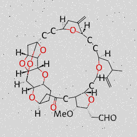 C=C1C[C@@H]2CC[C@@]34C[C@H]5O[C@H]6[C@@H](O3)[C@H]3O[C@H](CCC3O[C@H]6C5O4)CC(=O)CC3[C@H](C[C@H]4O[C@@H](CC[C@@H]1O2)CC(C)C4=C)O[C@H](CC=O)[C@@H]3OC